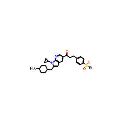 CCS(=O)(=O)c1ccc(CCC(=O)c2cnc3c(c2)cc(CC2CCC(C)CC2)n3C2CC2)cc1